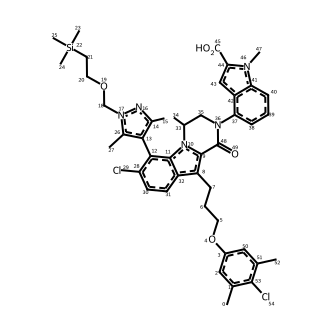 Cc1cc(OCCCc2c3n(c4c(-c5c(C)nn(COCC[Si](C)(C)C)c5C)c(Cl)ccc24)C(C)CN(c2cccc4c2cc(C(=O)O)n4C)C3=O)cc(C)c1Cl